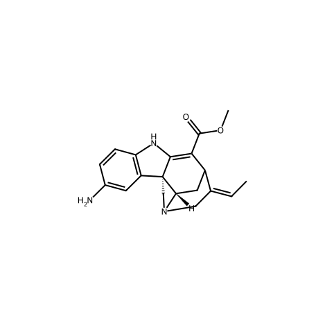 C/C=C1/CN2CC[C@]34C(=C(C(=O)OC)C1C[C@H]23)Nc1ccc(N)cc14